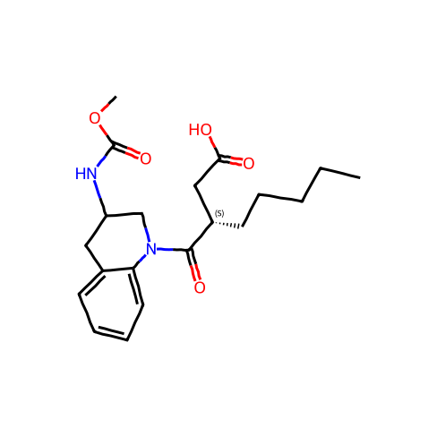 CCCCC[C@@H](CC(=O)O)C(=O)N1CC(NC(=O)OC)Cc2ccccc21